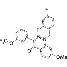 COc1ccc2c(=O)c(-c3cccc(OC(F)(F)F)c3)nn(Cc3ccc(F)cc3F)c2c1